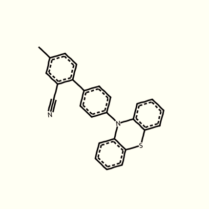 Cc1ccc(-c2ccc(N3c4ccccc4Sc4ccccc43)cc2)c(C#N)c1